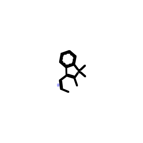 C/C=C\C1=C(C)S(C)(C)c2ccccc21